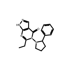 CCc1nc2[nH]ncc2c(=O)n1N1CCCC1c1ccccc1